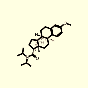 COc1ccc2c(c1)CC[C@@H]1[C@@H]2CC[C@]2(C)[C@@H](C(=O)N(C(C)C)C(C)C)CC[C@@H]12